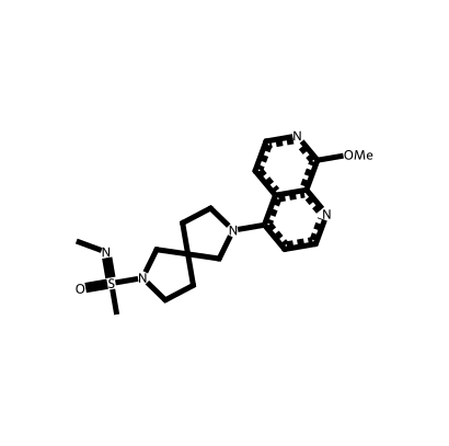 CN=S(C)(=O)N1CCC2(CCN(c3ccnc4c(OC)nccc34)C2)C1